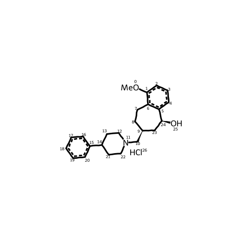 COc1cccc2c1CC[C@H](CN1CCC(c3ccccc3)CC1)C[C@@H]2O.Cl